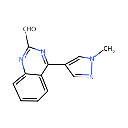 Cn1cc(-c2nc(C=O)nc3ccccc23)cn1